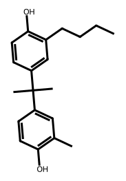 CCCCc1cc(C(C)(C)c2ccc(O)c(C)c2)ccc1O